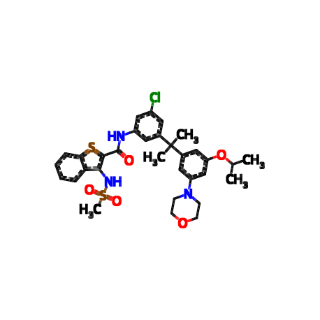 CC(C)Oc1cc(N2CCOCC2)cc(C(C)(C)c2cc(Cl)cc(NC(=O)c3sc4ccccc4c3NS(C)(=O)=O)c2)c1